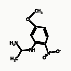 COc1ccc([N+](=O)[O-])c(NC(C)N)c1